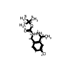 CC(N)c1cc(Cl)ccc1CNC(=O)OC(C)(C)C